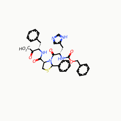 O=C(N[C@@H](Cc1cnc[nH]1)C(=O)N1C(c2ccccc2)SC[C@H]1C(=O)N[C@@H](Cc1ccccc1)C(=O)C(=O)O)OCc1ccccc1